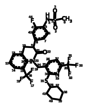 CS(=O)(=O)Nc1ccc(C(Cc2cccc(C(F)(F)F)c2)C(=O)NCc2ccc(C(F)(F)F)nc2SC2CCCCC2)cc1F